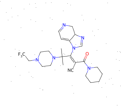 CC(C)(C(=C(C#N)C(=O)N1CCCCC1)N1C=NC2CN=CC=C21)N1CCN(CC(F)(F)F)CC1